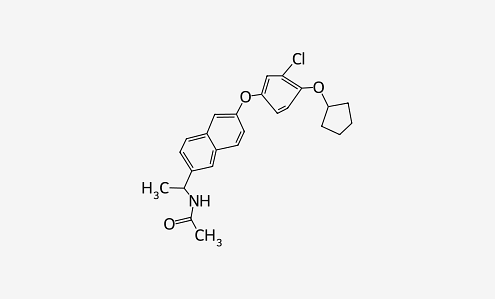 CC(=O)NC(C)c1ccc2cc(Oc3ccc(OC4CCCC4)c(Cl)c3)ccc2c1